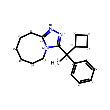 CC(c1ccccc1)(c1nnc2n1CCCCCC2)C1CCC1